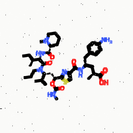 CCCN(C(=O)[C@@H](NC(=O)[C@H]1CCCCN1C)[C@@H](C)CC)[C@H](C[C@@H](OC(=O)NC)c1nc(C(=O)N[C@@H](Cc2ccc(N)cc2)C[C@H](C)C(=O)O)cs1)C(C)C